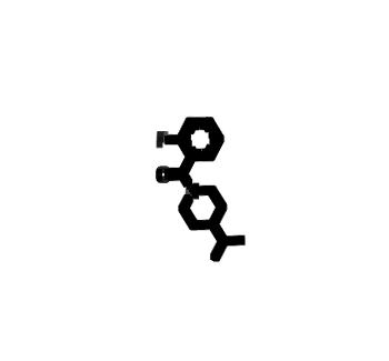 CC(C)C1CCN(C(=O)c2ccccc2F)CC1